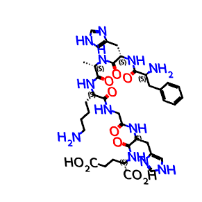 C[C@H](NC(=O)[C@H](Cc1c[nH]cn1)NC(=O)[C@@H](N)Cc1ccccc1)C(=O)N[C@@H](CCCCN)C(=O)NCC(=O)N[C@@H](Cc1c[nH]cn1)C(=O)N[C@@H](CCC(=O)O)C(=O)O